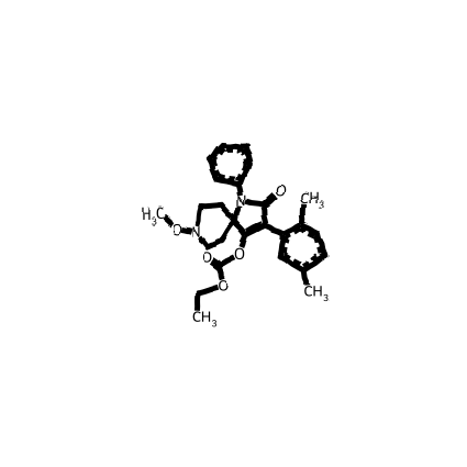 CCOC(=O)OC1=C(c2cc(C)ccc2C)C(=O)N(c2ccccc2)C12CCN(OC)CC2